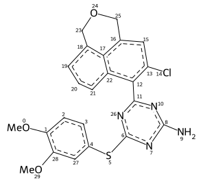 COc1ccc(Sc2nc(N)nc(-c3c(Cl)cc4c5c(cccc35)COC4)n2)cc1OC